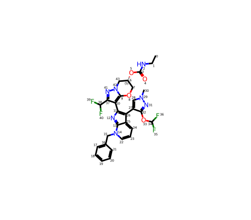 CCNC(=O)O[C@@H]1COc2c(-c3nc4n(Cc5ccccc5)cccc-4c3-c3cn(C)nc3OC(F)F)c(C(F)F)nn2C1